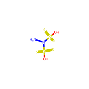 NN(S(O)(=S)=S)S(O)(=S)=S